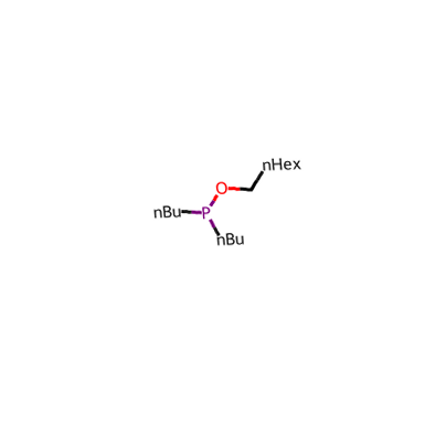 CCCCCCCOP(CCCC)CCCC